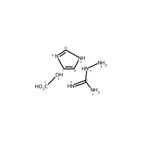 N=C(N)NN.O=C(O)O.c1c[nH]cn1